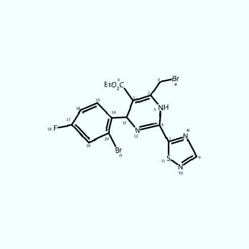 CCOC(=O)C1=C(CBr)NC(c2ncns2)=NC1c1ccc(F)cc1Br